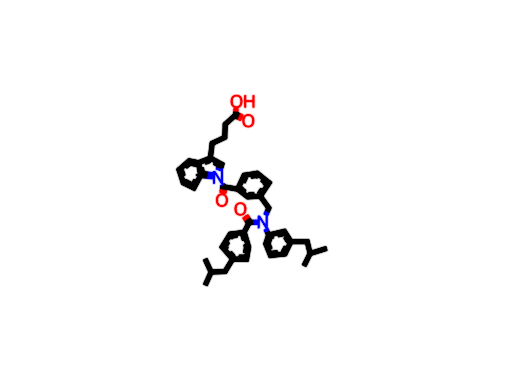 CC(C)Cc1ccc(C(=O)N(Cc2cccc(C(=O)n3cc(CCCC(=O)O)c4ccccc43)c2)c2cccc(CC(C)C)c2)cc1